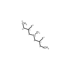 CCC(F)C[S+]([O-])CC(F)CC